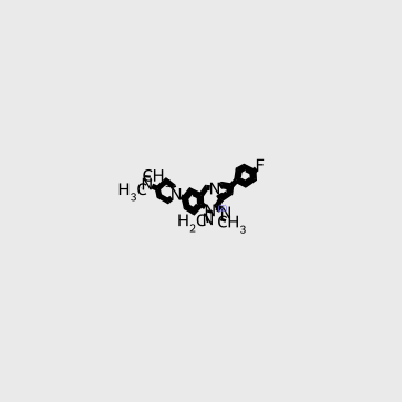 C=NN1/C(=N\C)c2cc(-c3ccc(F)cc3)cn2Cc2cc(N3CCC(N(C)C)CC3)ccc21